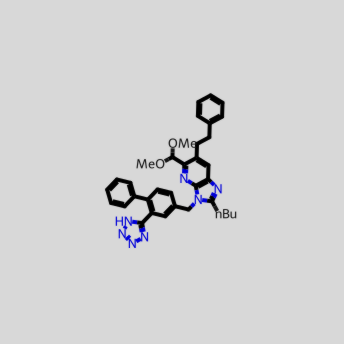 CCCCc1nc2cc(CCc3ccccc3)c(C(OC)OC)nc2n1Cc1ccc(-c2ccccc2)c(-c2nnn[nH]2)c1